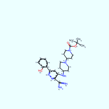 CC(C)(C)OC(=O)N1CCC(N2CCC(Nc3cc(-c4ccccc4O)nnc3C(=N)N)CC2)CC1